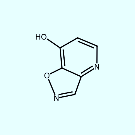 Oc1ccnc2cnoc12